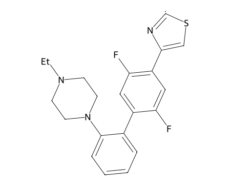 CCN1CCN(c2ccccc2-c2cc(F)c(-c3cs[c]n3)cc2F)CC1